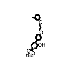 Cc1cccc(OCCCOc2ccc(C3CCN(C(=O)OC(C)(C)C)CC3O)cc2)c1